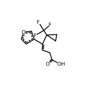 O=C(O)C/C=C(/c1ccoc1)C1(C(F)(F)F)CC1